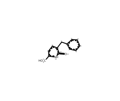 O=C(O)c1ccc(Cc2ccccc2)c(=O)[nH]1